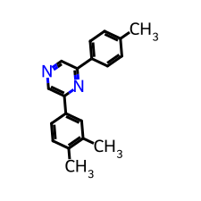 Cc1ccc(-c2cncc(-c3ccc(C)c(C)c3)n2)cc1